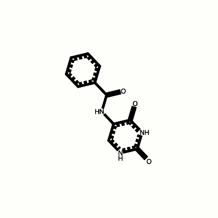 O=C(Nc1c[nH]c(=O)[nH]c1=O)c1ccccc1